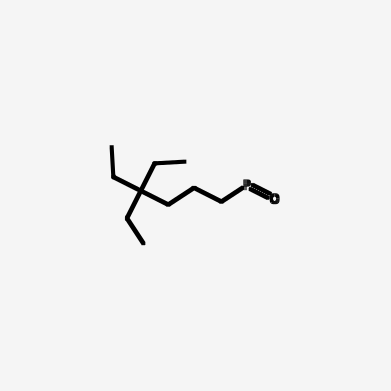 CCC(CC)(CC)CCCP=O